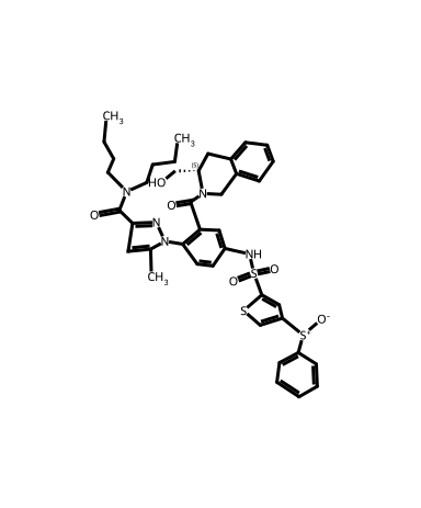 CCCCN(CCCC)C(=O)c1cc(C)n(-c2ccc(NS(=O)(=O)c3cc([S+]([O-])c4ccccc4)cs3)cc2C(=O)N2Cc3ccccc3C[C@H]2CO)n1